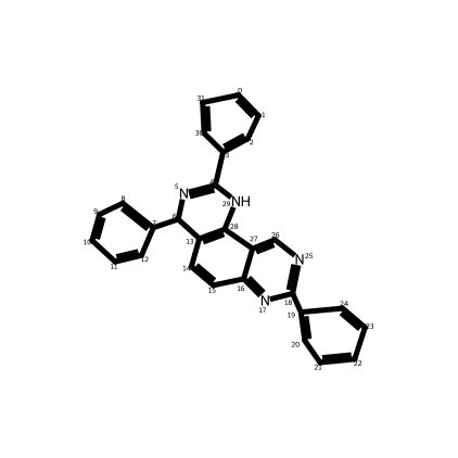 c1ccc(C2=NC(c3ccccc3)c3ccc4nc(-c5ccccc5)ncc4c3N2)cc1